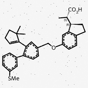 CSc1cccc(-c2ccc(COc3ccc4c(c3)[C@@H]([C@H](C)C(=O)O)CC4)cc2C2=CCCC2(C)C)c1